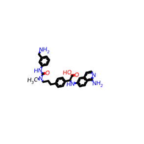 CN(CCCc1ccc(C(Nc2ccc3c(N)nccc3c2)C(=O)O)cc1)C(=O)Nc1cccc(CN)c1